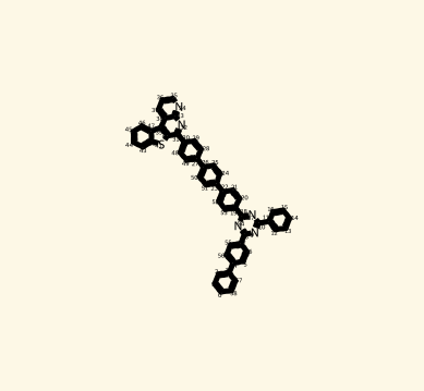 c1ccc(-c2ccc(-c3nc(-c4ccccc4)nc(-c4ccc(-c5ccc(-c6ccc(-c7nc8ncccc8c8c7sc7ccccc78)cc6)cc5)cc4)n3)cc2)cc1